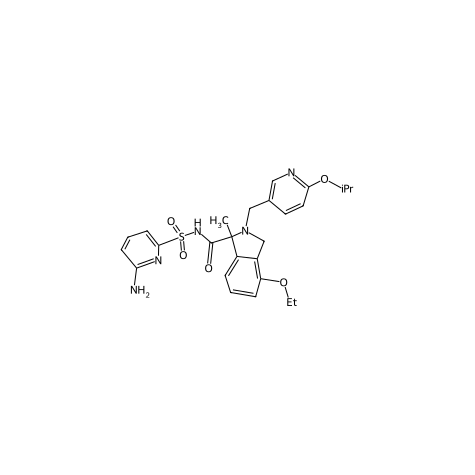 CCOc1cccc2c1CN(Cc1ccc(OC(C)C)nc1)C2(C)C(=O)NS(=O)(=O)c1cccc(N)n1